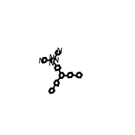 c1ccc(-c2ccc(-c3cc(-c4ccc(-c5ccccc5)cc4)cc(-c4ccc(-c5nc(-c6ccncc6)nc(-c6ccncc6)n5)cc4)c3)cc2)cc1